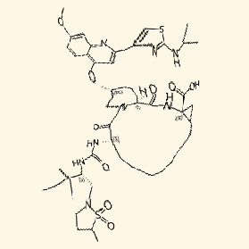 COc1ccc2c(O[C@@H]3C[C@H]4C(=O)N[C@]5(C(=O)O)CC5CCCCCCC[C@H](NC(=O)N[C@H](CN5CCC(C)S5(=O)=O)C(C)(C)C)C(=O)N4C3)cc(-c3csc(NC(C)C)n3)nc2c1